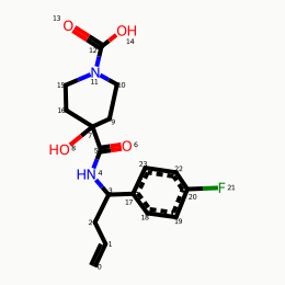 C=CCC(NC(=O)C1(O)CCN(C(=O)O)CC1)c1ccc(F)cc1